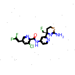 NC1=N[C@](CF)(c2cc(NC(=O)c3ncc(C=C(F)F)cc3Cl)ccn2)CCS1